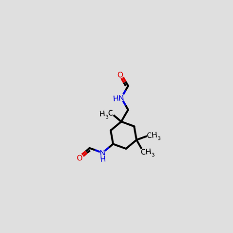 CC1(C)CC(NC=O)CC(C)(CNC=O)C1